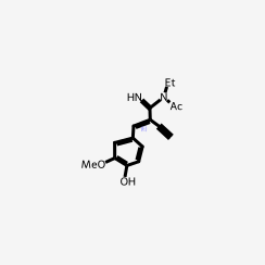 C#C/C(=C\c1ccc(O)c(OC)c1)C(=N)N(CC)C(C)=O